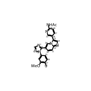 COc1cc(-n2ncnc2-c2ccc3ncc(-c4ccc(NC(C)=O)nc4)n3c2)ccc1F